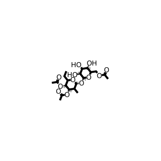 CCC1O[C@H](O[C@H]2OC(COC(C)=O)[C@@H](O)C(O)[C@@H]2O)C(C)[C@H](OC(C)=O)[C@@H]1OC(C)=O